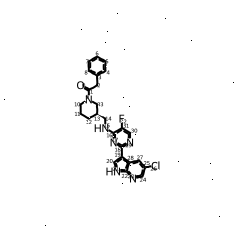 O=C(Cc1ccccc1)N1CCC[C@H](CNc2nc(-c3c[nH]c4ncc(Cl)cc34)ncc2F)C1